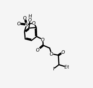 CCC(I)C(=O)OCC(=O)Oc1ccc2c(O)c1OS2(=O)=O